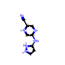 N#Cc1cnc(Nc2ccn[nH]2)cn1